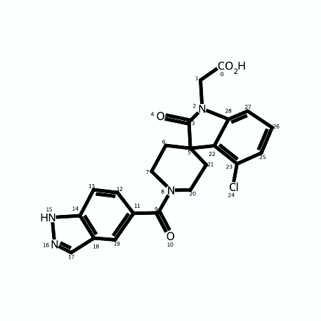 O=C(O)CN1C(=O)C2(CCN(C(=O)c3ccc4[nH]ncc4c3)CC2)c2c(Cl)cccc21